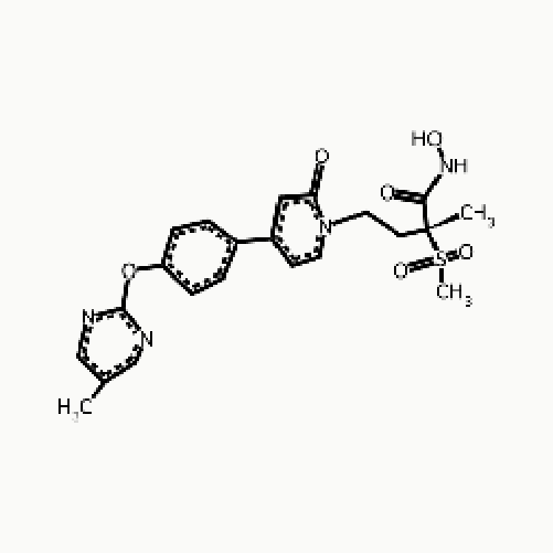 Cc1cnc(Oc2ccc(-c3ccn(CC[C@](C)(C(=O)NO)S(C)(=O)=O)c(=O)c3)cc2)nc1